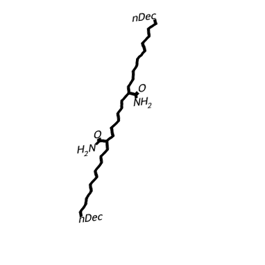 CCCCCCCCCCCCCCCCCCCCC(CCCCCCC(CCCCCCCCCCCCCCCCCCCC)C(N)=O)C(N)=O